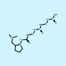 C[15N](C)CC1CCC[15N]1[13CH2]C(=O)N[13CH2][13CH2][13C](=O)N[13CH2][13CH2][13C](=O)O